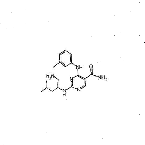 Cc1cccc(Nc2nc(NC(CN)CC(C)C)ncc2C(N)=O)c1